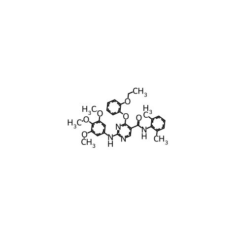 CCOc1ccccc1Oc1nc(Nc2cc(OC)c(OC)c(OC)c2)ncc1C(=O)Nc1c(C)cccc1C